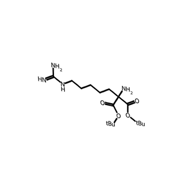 CC(C)(C)OC(=O)C(N)(CCCCCNC(=N)N)C(=O)OC(C)(C)C